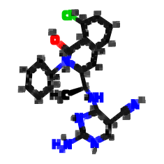 C[C@H](Nc1nc(N)ncc1C#N)c1cc2cccc(Cl)c2c(=O)n1-c1ccccc1